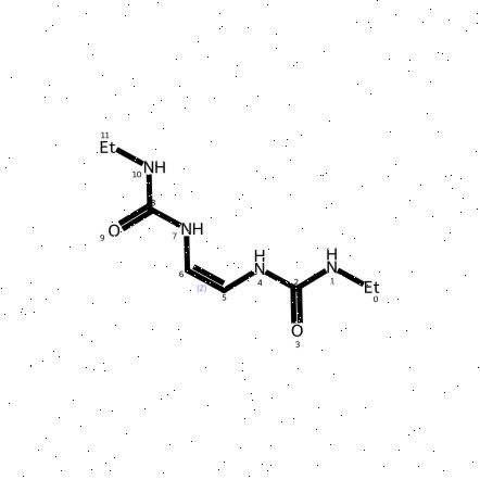 CCNC(=O)N/C=C\NC(=O)NCC